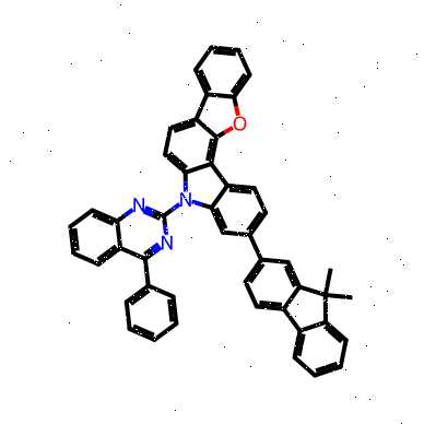 CC1(C)c2ccccc2-c2ccc(-c3ccc4c5c6oc7ccccc7c6ccc5n(-c5nc(-c6ccccc6)c6ccccc6n5)c4c3)cc21